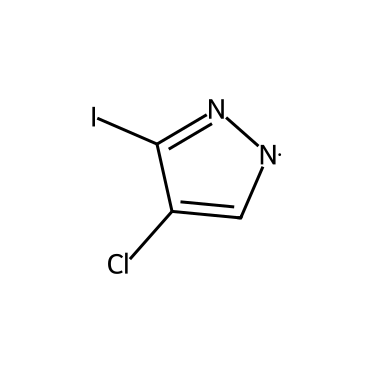 ClC1=C[N]N=C1I